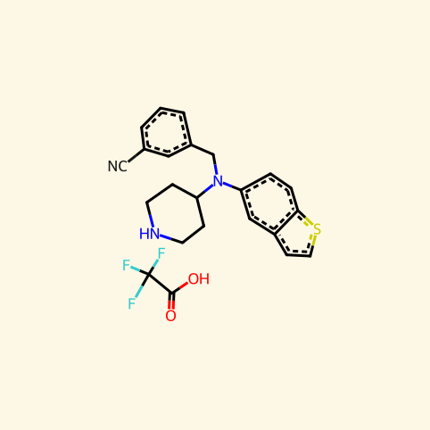 N#Cc1cccc(CN(c2ccc3sccc3c2)C2CCNCC2)c1.O=C(O)C(F)(F)F